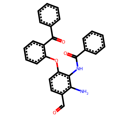 Nc1c(C=O)ccc(Oc2ccccc2C(=O)c2ccccc2)c1NC(=O)c1ccccc1